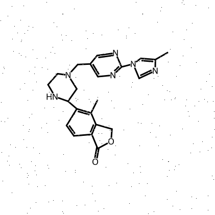 Cc1cn(-c2ncc(CN3CCNC(c4ccc5c(c4C)COC5=O)C3)cn2)cn1